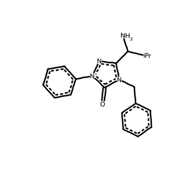 CC(C)C(N)c1nn(-c2ccccc2)c(=O)n1Cc1ccccc1